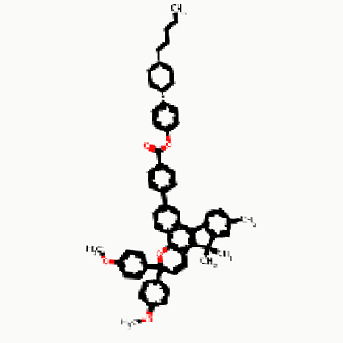 CCCCC[C@H]1CC[C@H](c2ccc(OC(=O)c3ccc(-c4ccc5c6c(c7c(c5c4)-c4ccc(C)cc4C7(C)C)C=CC(c4ccc(OC)cc4)(c4ccc(OC)cc4)O6)cc3)cc2)CC1